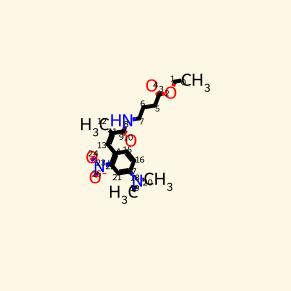 CCOC(=O)CCCNC(=O)C(C)=Cc1ccc(N(C)C)cc1[N+](=O)[O-]